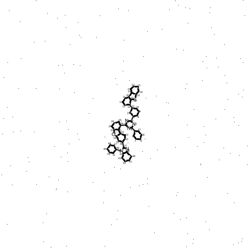 c1ccc(-c2nc(-c3cccc(-c4cccc5c4sc4ccccc45)c3)nc(-c3cccc4oc5cc(-c6nc7ccccc7n6-c6ccccc6)ccc5c34)n2)cc1